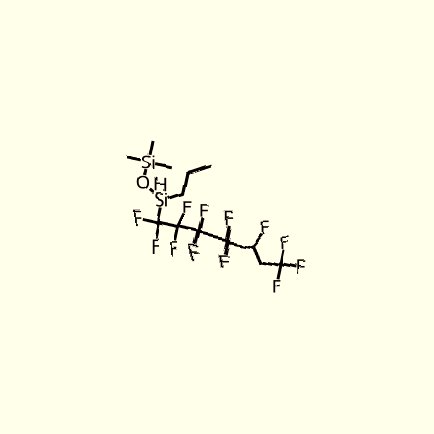 CCC[SiH](O[Si](C)(C)C)C(F)(F)C(F)(F)C(F)(F)C(F)(F)C(F)CC(F)(F)F